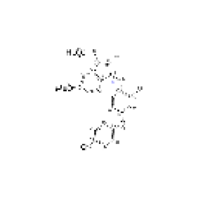 COc1ccc2c(c1)C(CC(=O)O)=C(C)/C2=C/c1ccc(Oc2ccc(Cl)cc2)cc1C